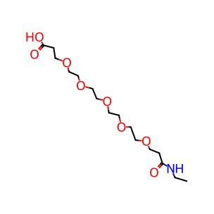 CCNC(=O)CCOCCOCCOCCOCCOCCC(=O)O